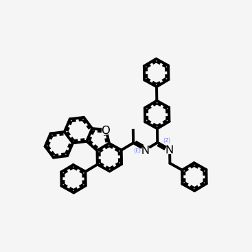 C/C(=N\C(=N/Cc1ccccc1)c1ccc(-c2ccccc2)cc1)c1ccc(-c2ccccc2)c2c1oc1ccc3ccccc3c12